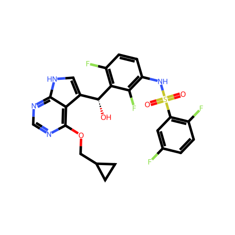 O=S(=O)(Nc1ccc(F)c([C@H](O)c2c[nH]c3ncnc(OCC4CC4)c23)c1F)c1cc(F)ccc1F